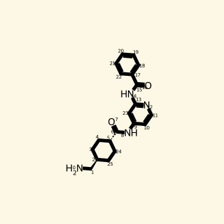 NC[C@H]1CC[C@H](C(=O)Nc2ccnc(NC(=O)c3ccccc3)c2)CC1